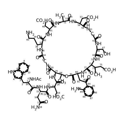 CC(=O)N[C@H](Cc1c[nH]c2ccccc12)C(=O)N[C@H](CC(N)=O)C(=O)NC(CC(=O)O)C(=O)NC1C(=O)NCC(=O)NC(CCCN)C(=O)NC(CC(=O)O)C(=O)NC(C)C(=O)NC(CC(=O)O)C(=O)NCC(=O)NC(CO)C(=O)NC(C(C)CC(=O)O)C(=O)NC(CC(=O)c2ccccc2N)C(=O)OC1C